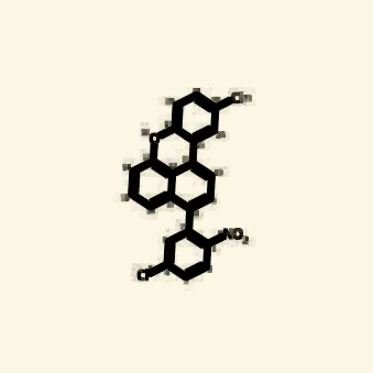 O=[N+]([O-])c1ccc(Cl)cc1-c1ccc2c3c(cccc13)Oc1ccc(Cl)cc1-2